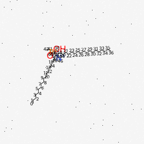 CCCCCCCCCCCCCCCCCCC(CCCCCCCCCCCCCCCCCC)(C(O)=[P+]([O-])CC)[N+](C)(C)C